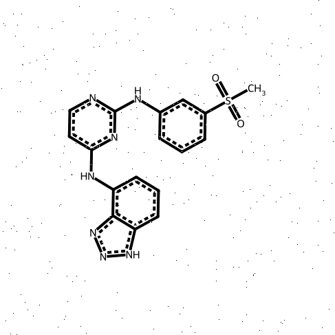 CS(=O)(=O)c1cccc(Nc2nccc(Nc3cccc4[nH]nnc34)n2)c1